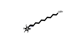 CC(C)COCCCCCCCC/C=C/S(F)(F)(F)(F)F